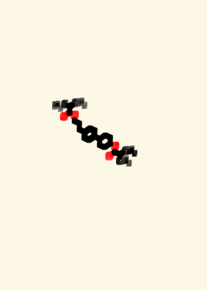 C=C(C)C(=O)OCCCc1ccc(C2CCC(OC(=O)C(=C)C)CC2)cc1